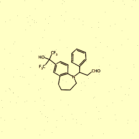 O=CCC(c1ccccc1)N1CCCCc2cc(C(O)(C(F)(F)F)C(F)(F)F)ccc21